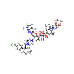 C[C@@H]1CN(c2ccc(C(=O)NS(=O)(=O)c3cc(F)c(NC[C@H]4COCCO4)c([N+](=O)[O-])c3)c(Oc3cnc4[nH]ccc4c3)c2)CCN1CC1=C(c2ccc(Cl)cc2)CCC2(CC2)C1